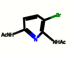 CC(=O)Nc1ccc(Br)c(NC(C)=O)n1